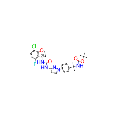 CC(C)(C)OC(=O)NC(C)(C)c1ccc(-n2ccc(NC(=O)N[C@H]3CCOc4c(Cl)ccc(F)c43)n2)cc1